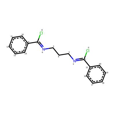 ClC(=NCCCN=C(Cl)c1ccccc1)c1ccccc1